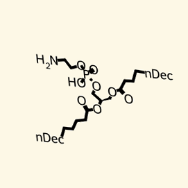 CCCCCCCCCCCCCCC(=O)O[C@H](COC(=O)CCCCCCCCCCCCC)COP(=O)(O)OCCN